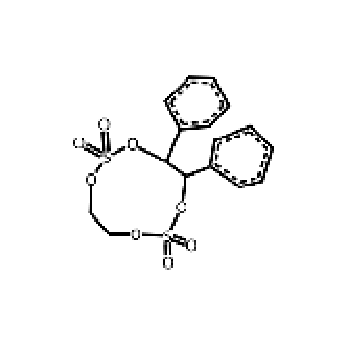 O=S1(=O)OCCOS(=O)(=O)OC(c2ccccc2)C(c2ccccc2)O1